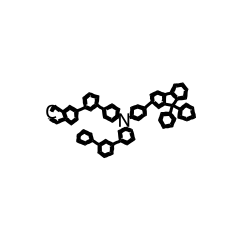 c1ccc(-c2cccc(-c3cccc(N(c4ccc(-c5cccc(-c6ccc7ccccc7c6)c5)cc4)c4ccc(-c5ccc6c(c5)C(c5ccccc5)(c5ccccc5)c5ccccc5-6)cc4)c3)c2)cc1